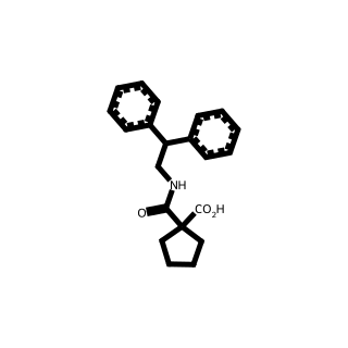 O=C(O)C1(C(=O)NCC(c2ccccc2)c2ccccc2)CCCC1